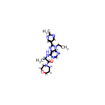 CCn1c(-c2cnc(C)nc2)nc2c(N[C@@H](C)C(=O)N3CCCOCC3)ncnc21